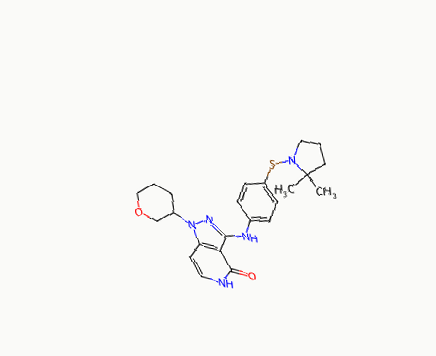 CC1(C)CCCN1Sc1ccc(Nc2nn(C3CCCOC3)c3cc[nH]c(=O)c23)cc1